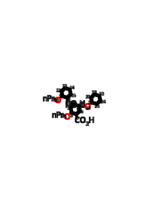 CCCOc1ccccc1C(=O)O.CCCOc1ccccc1C(=O)O.O=C(O)Oc1ccccc1